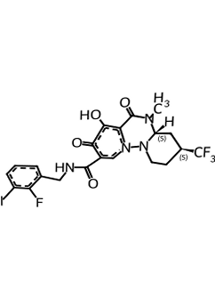 CN1C(=O)c2c(O)c(=O)c(C(=O)NCc3cccc(Cl)c3F)cn2N2CC[C@H](C(F)(F)F)C[C@@H]12